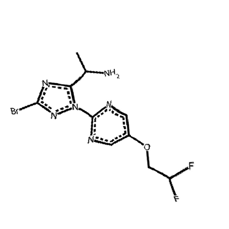 CC(N)c1nc(Br)nn1-c1ncc(OCC(F)F)cn1